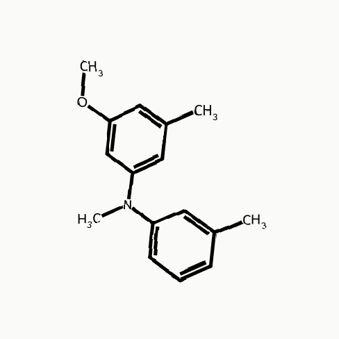 COc1cc(C)cc(N(C)c2cccc(C)c2)c1